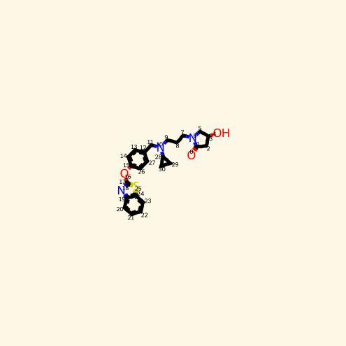 O=C1CC(O)CN1CCCN(Cc1ccc(Oc2nc3ccccc3s2)cc1)C1CC1